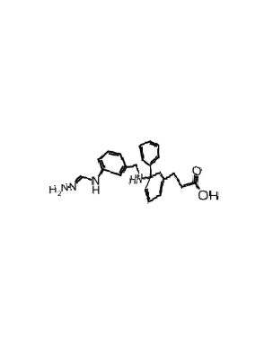 NN=CNc1cccc(CNC2(c3ccccc3)C=CC=C(CCC(=O)O)C2)c1